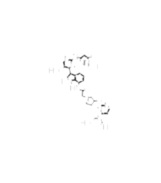 CCN(CC)c1nc(OC2CCN(CC(=O)Nc3cccc4c(-c5nc(Nc6cc(C)n(C)n6)ncc5C)c[nH]c34)C2)ncc1F